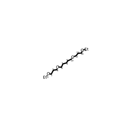 CCOCCCOCCCCCOCCCOCC